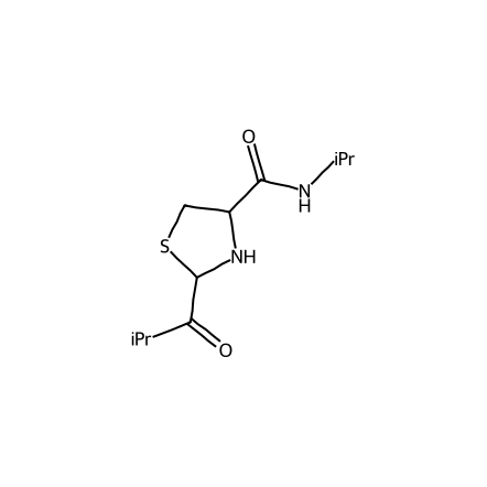 CC(C)NC(=O)C1CSC(C(=O)C(C)C)N1